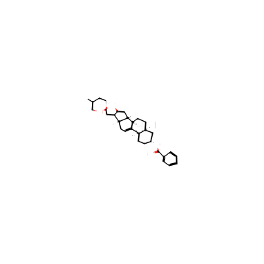 CC1CC[C@@]2(OC1)O[C@H]1C[C@H]3[C@@H]4CC[C@H]5C[C@@H](OC(=O)c6ccccc6)CC[C@]5(C)C4=CC[C@]3(C)C1[C@@H]2C